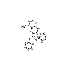 Oc1cccc2c1C[C@@H](N(Cc1ccccc1)Cc1ccccc1)CC2